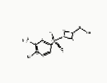 Cc1cc(S(=O)(=O)N2CC(CO)C2)ccc1Br